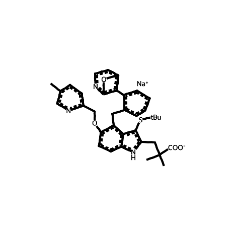 Cc1ccc(COc2ccc3[nH]c(CC(C)(C)C(=O)[O-])c(SC(C)(C)C)c3c2Cc2ccccc2-c2c3ccnc2O3)nc1.[Na+]